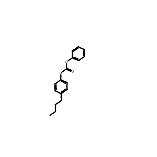 CCCCc1ccc(OC(=O)Oc2ccccc2)cc1